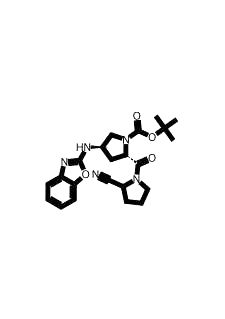 CC(C)(C)OC(=O)N1C[C@H](Nc2nc3ccccc3o2)C[C@H]1C(=O)N1CCCC1C#N